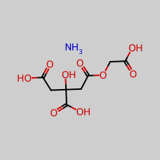 N.O=C(O)COC(=O)CC(O)(CC(=O)O)C(=O)O